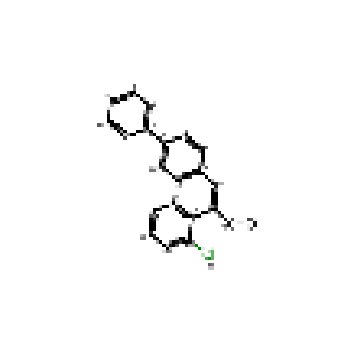 O=CC(=Cc1ccc(-c2ccccc2)cc1)c1ccccc1Cl